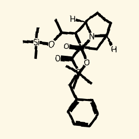 CC(O[Si](C)(C)C)C1[C@@H]2CC[C@H](CN1C(=O)OCc1ccccc1)N2C(=O)OC(C)(C)C